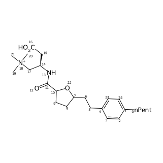 CCCCCc1ccc(CCC2CCC(C(=O)N[C@H](CC(=O)O)C[N+](C)(C)C)O2)cc1